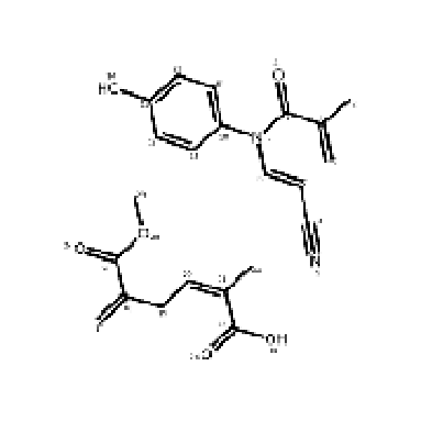 C=C(C)C(=O)N(C=CC#N)c1ccc(O)cc1.C=C(CC=C(C)C(=O)O)C(=O)OC